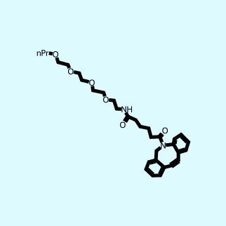 CCCOCCOCCOCCOCCNC(=O)CCCCC(=O)N1Cc2ccccc2C#Cc2ccccc21